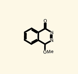 COC1N=NC(=O)c2ccccc21